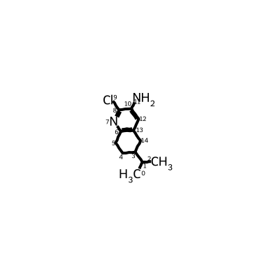 CC(C)C1CCc2nc(Cl)c(N)cc2C1